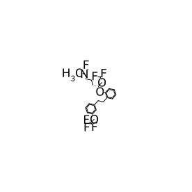 CN(CF)CCC[C@@H](Oc1ccccc1CCc1cccc(OC(F)(F)F)c1)OC(F)F